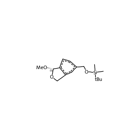 CO[C@H]1OCc2cc(CO[Si](C)(C)C(C)(C)C)ccc21